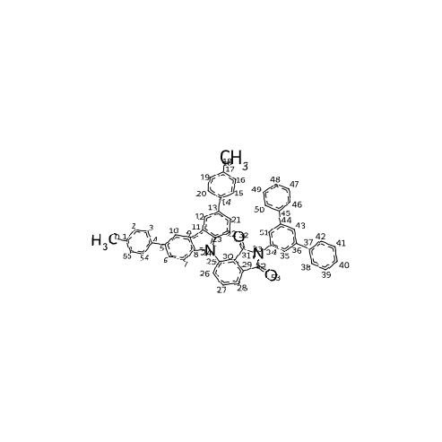 Cc1ccc(-c2ccc3c(c2)c2cc(-c4ccc(C)cc4)ccc2n3-c2cccc3c2C(=O)N(c2cc(-c4ccccc4)cc(-c4ccccc4)c2)C3=O)cc1